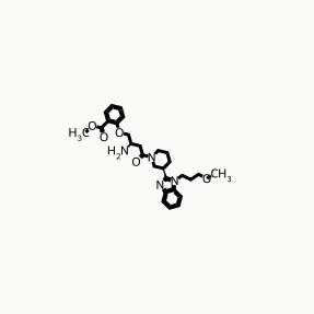 COCCCn1c([C@@H]2CCCN(C(=O)C[C@@H](N)COc3ccccc3C(=O)OC)C2)nc2ccccc21